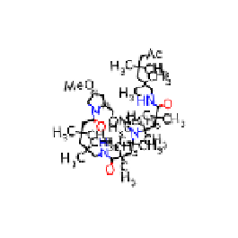 COC[C@@H]1C[C@@H](OC)CN1C(=O)CC(C)(C)CC(C)(C)CNC(=O)C(C)(C)CC(C)(C)N(C)C(C)(C)CC(C)(C)C(=O)NCC(C)(C)CC(C)(C)CC(C)=O